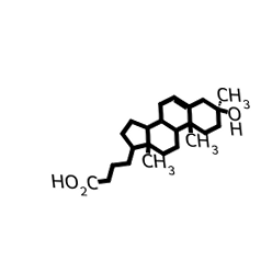 CC12CC[C@](C)(O)CC1=CCC1C2CCC2(C)C(CCCC(=O)O)CCC12